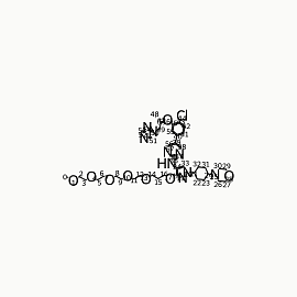 COCCOCCOCCOCCOCCCOc1nn(C2CCC(N3CCOCC3)CC2)cc1Nc1ncc(-c2ccc(Cl)c(O[C@@H](C)Cn3cncn3)c2)cn1